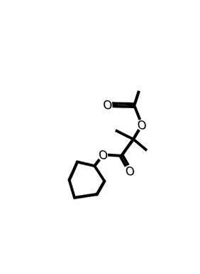 CC(=O)OC(C)(C)C(=O)OC1CCCCC1